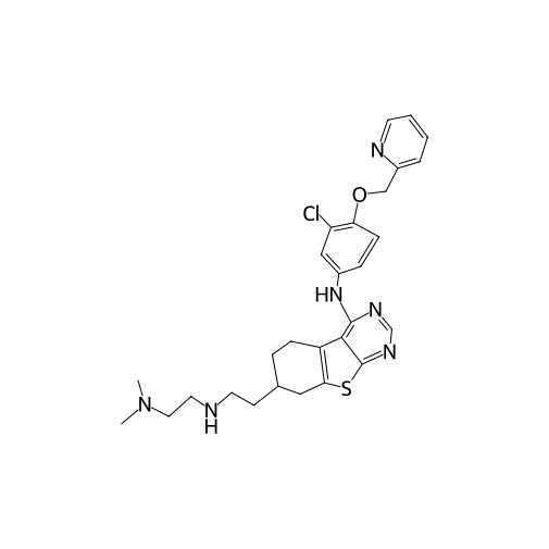 CN(C)CCNCCC1CCc2c(sc3ncnc(Nc4ccc(OCc5ccccn5)c(Cl)c4)c23)C1